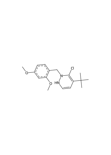 COc1ccc(CN2NC=CC(C(C)(C)C)=C2Cl)c(OC)c1